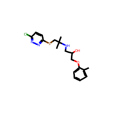 Cc1ccccc1OCC(O)CNC(C)(C)CSc1ccc(Cl)nn1